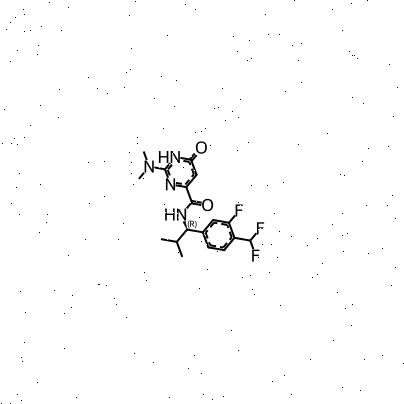 CC(C)[C@@H](NC(=O)c1cc(=O)[nH]c(N(C)C)n1)c1ccc(C(F)F)c(F)c1